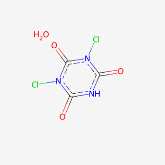 O.O=c1[nH]c(=O)n(Cl)c(=O)n1Cl